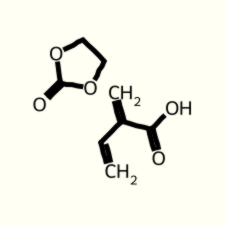 C=CC(=C)C(=O)O.O=C1OCCO1